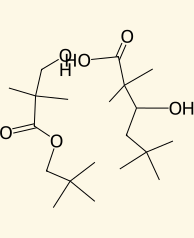 CC(C)(C)CC(O)C(C)(C)C(=O)O.CC(C)(C)COC(=O)C(C)(C)CO